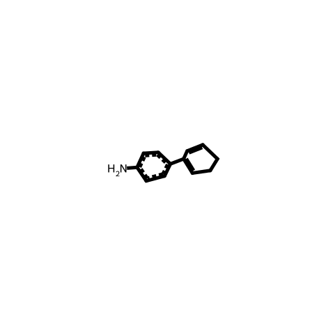 Nc1ccc(C2=CCCC=C2)cc1